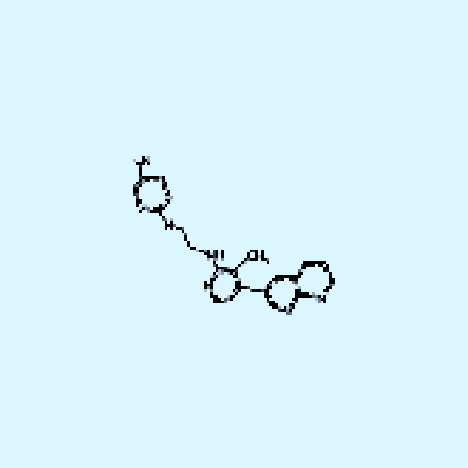 Cc1c(-c2ccc3ncccc3c2)ccnc1NCCNc1ccc(C#N)cn1